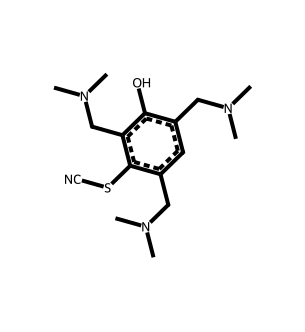 CN(C)Cc1cc(CN(C)C)c(SC#N)c(CN(C)C)c1O